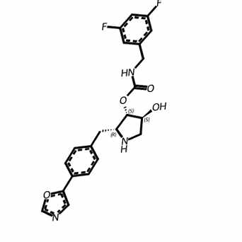 O=C(NCc1cc(F)cc(F)c1)O[C@@H]1[C@@H](O)CN[C@@H]1Cc1ccc(-c2cnco2)cc1